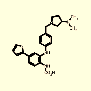 CN(C)C1CCN(Cc2ccc(Nc3cc(-c4cccs4)ccc3NC(=O)O)cc2)C1